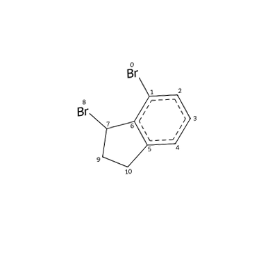 Brc1cccc2c1C(Br)CC2